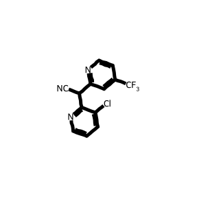 N#CC(c1cc(C(F)(F)F)ccn1)c1ncccc1Cl